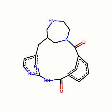 O=C1Nc2nccc(n2)CC2CNCCN(C2)C(=O)c2cccc1c2